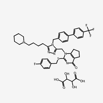 O=C(O)C(O)C(O)C(=O)O.O=c1nc(SCc2ccc(F)cc2)n(Cc2nnc(CCCCN3CCCCC3)n2Cc2ccc(-c3ccc(C(F)(F)F)cc3)cc2)c2c1CCC2